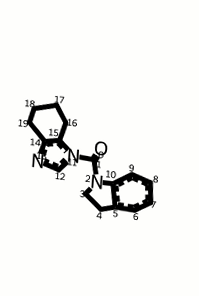 O=C(N1CCc2ccccc21)n1cnc2c1CCCC2